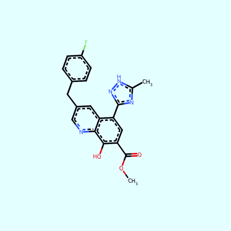 COC(=O)c1cc(-c2n[nH]c(C)n2)c2cc(Cc3ccc(F)cc3)cnc2c1O